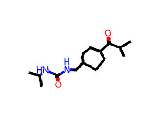 CC(C)NC(=O)NCC1CCC(C(=O)C(C)C)CC1